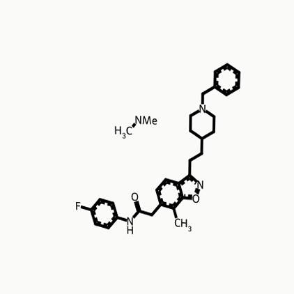 CNC.Cc1c(CC(=O)Nc2ccc(F)cc2)ccc2c(CCC3CCN(Cc4ccccc4)CC3)noc12